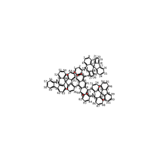 c1ccc(N2c3ccccc3C3(c4ccccc4-c4ccccc43)c3cccc(-c4cccc5c(-c6cccc7c6-c6ccccc6C76c7ccccc7-n7c8ccccc8c8cccc6c87)c6cccc(-c7cccc8c7N(c7ccccc7)c7ccccc7C87c8ccccc8-c8ccccc87)c6cc45)c32)cc1